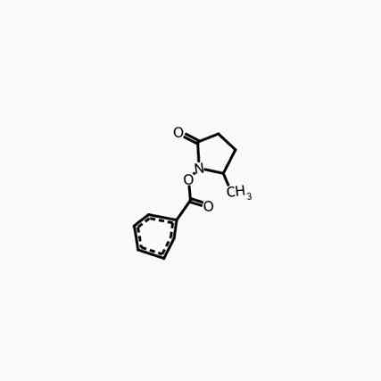 CC1CCC(=O)N1OC(=O)c1ccccc1